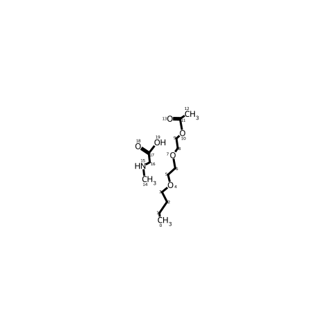 CCCCOCCOCCOC(C)=O.CNCC(=O)O